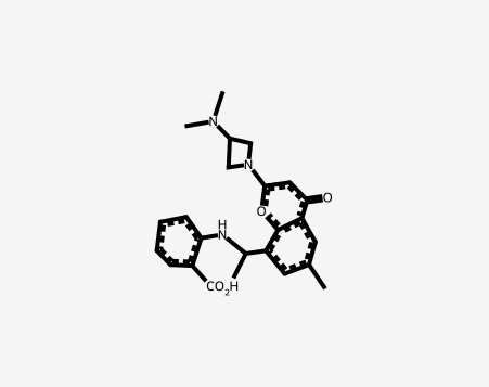 Cc1cc(C(C)Nc2ccccc2C(=O)O)c2oc(N3CC(N(C)C)C3)cc(=O)c2c1